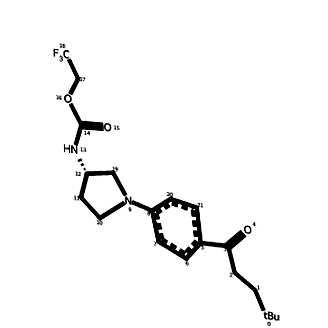 CC(C)(C)CCC(=O)c1ccc(N2CC[C@H](NC(=O)OCC(F)(F)F)C2)cc1